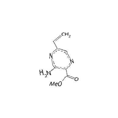 C=Cc1cnc(C(=O)OC)c(N)n1